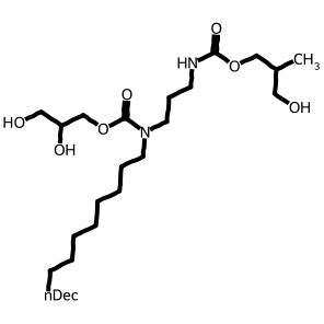 CCCCCCCCCCCCCCCCCCN(CCCNC(=O)OCC(C)CO)C(=O)OCC(O)CO